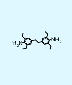 CCc1cc(CCc2cc(CC)c(N)c(CC)c2)cc(CC)c1N